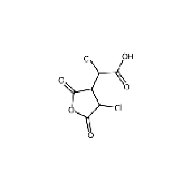 O=C(O)C(Cl)C1C(=O)OC(=O)C1Cl